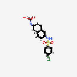 O=C(O)NC1CCc2cc(NS(=O)(=O)c3ccc(Cl)cc3)ccc2C1